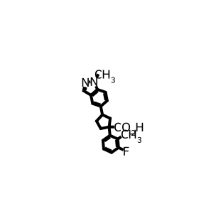 Cc1c(F)cccc1C1(C(=O)O)CCC(c2ccc3c(cnn3C)c2)C1